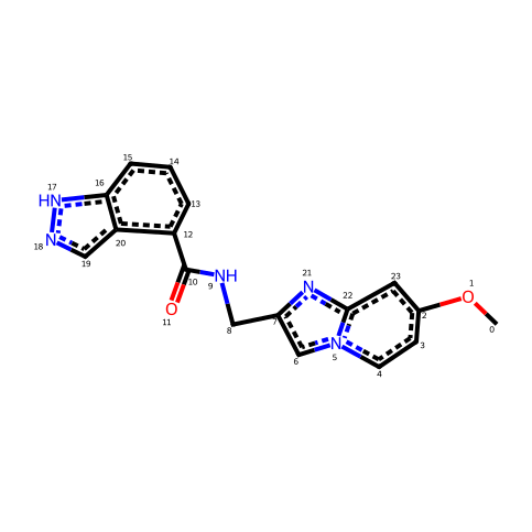 COc1ccn2cc(CNC(=O)c3cccc4[nH]ncc34)nc2c1